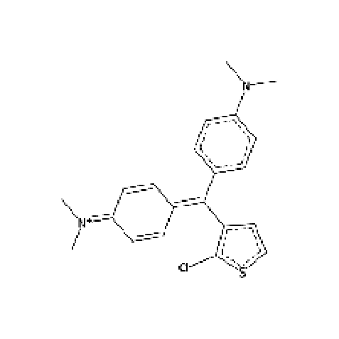 CN(C)c1ccc(C(=C2C=CC(=[N+](C)C)C=C2)c2ccsc2Cl)cc1